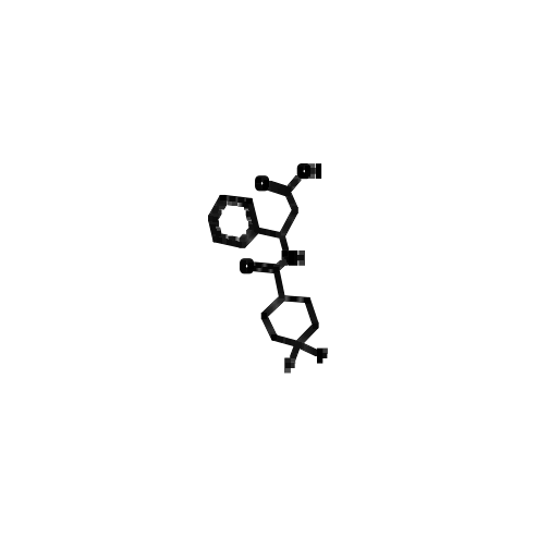 O=C(O)CC(NC(=O)C1CCC(F)(F)CC1)c1ccccc1